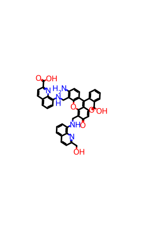 Nc1ccc2c(-c3ccccc3C(=O)O)c3ccc(=O)c(CNc4cccc5ccc(CO)nc45)c-3oc2c1CNc1cccc2ccc(C(=O)O)nc12